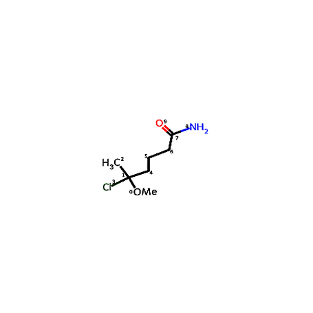 COC(C)(Cl)CCCC(N)=O